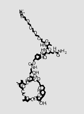 C=C1CC2CC[C@]34C[C@@H](O)C(O3)C3CC5CCC(CC(=O)CC6[C@H](CC7OC(CCC1O2)C[C@@H](C)C7=C)O[C@H](CC(O)CNC(=O)OCc1ccc(NC(=O)[C@H](CCCNC(N)=O)NC(=O)[C@@H](NC(=O)CCOCCOCCOCCOCCN=[N+]=[N-])C(C)C)cc1)[C@@H]6OC)O[C@@H]5C(C3)O4